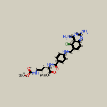 COC(=O)[C@H](CCCNC(=O)OC(C)(C)C)NC(=O)c1ccc(NCc2ccc3nc(N)nc(N)c3c2Cl)cc1